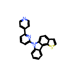 c1cc(-c2ccncc2)nc(-n2c3ccccc3c3c4sccc4ccc32)c1